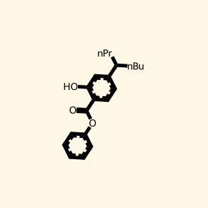 CCCCC(CCC)c1ccc(C(=O)Oc2ccccc2)c(O)c1